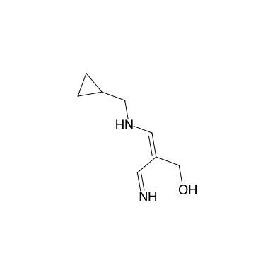 N=C/C(=C\NCC1CC1)CO